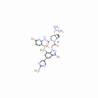 CC(=O)c1nn(CC(=O)N2[C@H](C(=O)Nc3nc(Br)c(F)cc3C)C[C@@]3(CN(C)C)C#C[C@@H]23)c2c(C)cc(-c3cnc(C)nc3)cc12